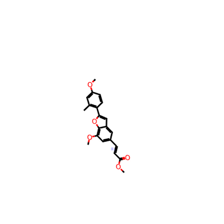 COC(=O)/C=C/c1cc(OC)c2oc(-c3ccc(OC)cc3C)cc2c1